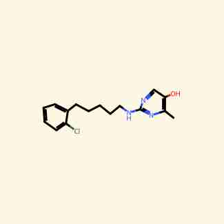 Cc1nc(NCCCCCc2ccccc2Cl)ncc1O